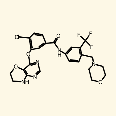 O=C(Nc1ccc(CN2CCOCC2)c(C(F)(F)F)c1)c1ccc(Cl)c(Oc2ncnc3c2OCCN3)c1